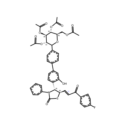 CC(=O)OC[C@H]1OC(c2ccc(-c3ccc([C@@H]4[C@@H](/C=C/C(=O)c5ccc(F)cc5)SC(=O)N4c4ccccc4)c(O)c3)cc2)[C@H](OC(C)=O)[C@@H](OC(C)=O)[C@@H]1OC(C)=O